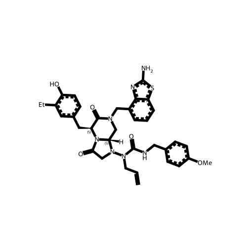 C=CCN(C(=O)NCc1ccc(OC)cc1)N1CC(=O)N2[C@@H](Cc3ccc(O)c(CC)c3)C(=O)N(Cc3cccc4sc(N)nc34)C[C@@H]21